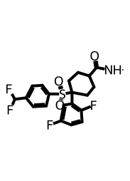 [NH]C(=O)C1CCC(c2cc(F)ccc2F)(S(=O)(=O)c2ccc(C(F)F)cc2)CC1